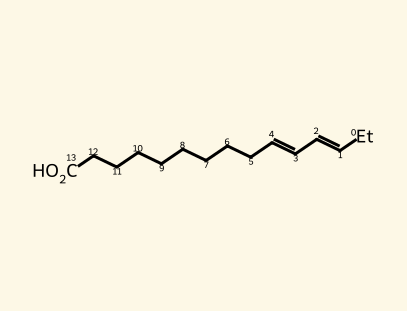 CCC=CC=CCCCCCCCCC(=O)O